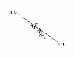 CCCCCCCCCCCCCCCCCCNC(=O)NCCON(CCCCCCCCCCCCCCCCCC)C(=O)OCC